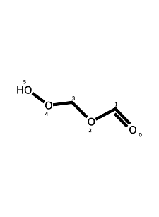 O=COCOO